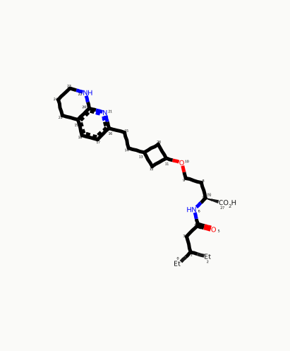 CCC(CC)CC(=O)N[C@@H](CCOC1CC(CCc2ccc3c(n2)NCCC3)C1)C(=O)O